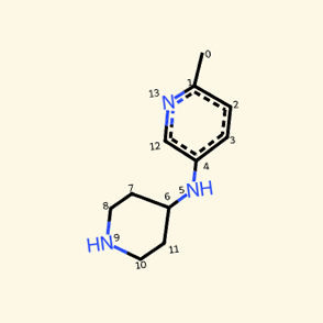 Cc1ccc(NC2CCNCC2)cn1